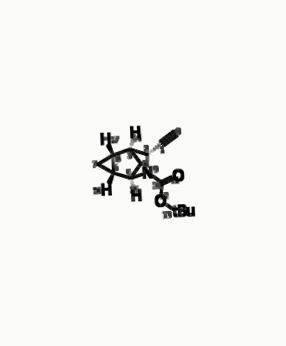 C#C[C@H]1[C@H]2C[C@H]([C@@H]3C[C@@H]32)N1C(=O)OC(C)(C)C